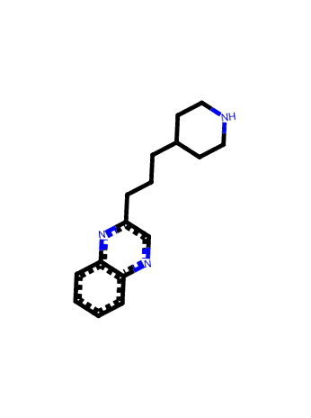 c1ccc2nc(CCCC3CCNCC3)cnc2c1